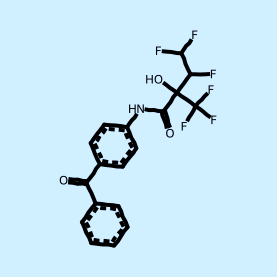 O=C(c1ccccc1)c1ccc(NC(=O)C(O)(C(F)C(F)F)C(F)(F)F)cc1